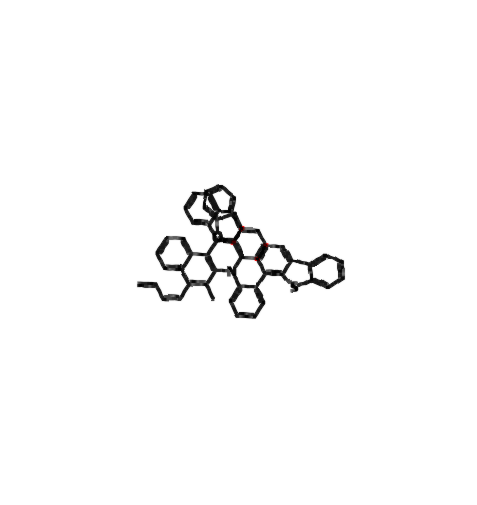 C=C/C=C\c1c(C)c(N(c2ccccc2-c2cccc3c2sc2ccccc23)c2cccc3c2oc2ccccc23)c(-c2cccc3ccccc23)c2ccccc12